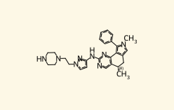 C[C@@H]1Cc2cn(C)c(-c3ccccc3)c2-c2nc(Nc3ccn(CCN4CCNCC4)n3)ncc21